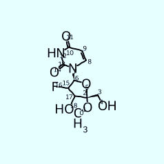 CO[C@@]1(CO)O[C@H](n2ccc(=O)[nH]c2=O)C(F)C1O